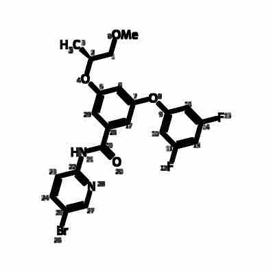 COC[C@H](C)Oc1cc(Oc2cc(F)cc(F)c2)cc(C(=O)Nc2ccc(Br)cn2)c1